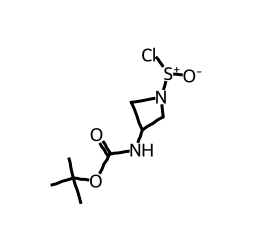 CC(C)(C)OC(=O)NC1CN([S+]([O-])Cl)C1